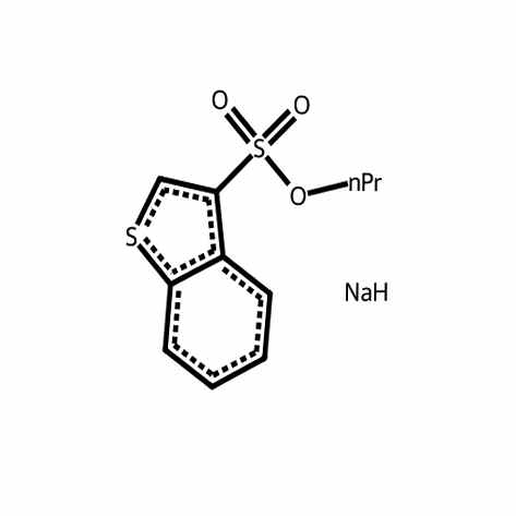 CCCOS(=O)(=O)c1csc2ccccc12.[NaH]